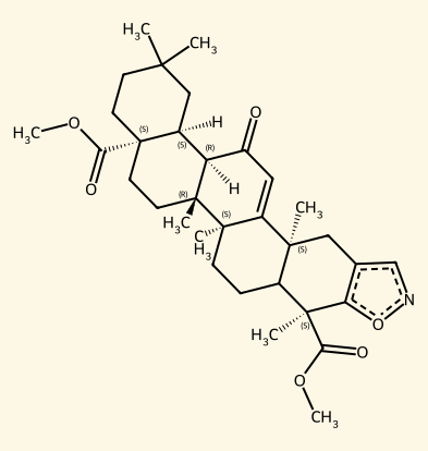 COC(=O)[C@]12CCC(C)(C)C[C@H]1[C@H]1C(=O)C=C3[C@@]4(C)Cc5cnoc5[C@@](C)(C(=O)OC)C4CC[C@@]3(C)[C@]1(C)CC2